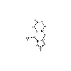 COc1c[nH]cc1CN1CCOCC1